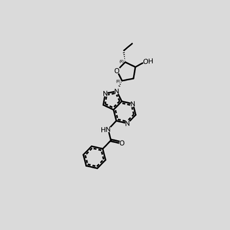 CC[C@H]1O[C@@H](n2ncc3c(NC(=O)c4ccccc4)ncnc32)CC1O